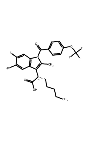 CCCCC[C@H](C(=O)O)c1c(C)n(C(=O)c2ccc(OC(F)(F)F)cc2)c2cc(F)c(O)cc12